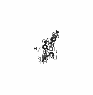 [2H]C([2H])([2H])n1nnc(-c2nc(Cl)ccc2NC(C)c2cc(C)cc3c(=O)n(C)c4c(C5CCN(S(=O)(=O)C6CC6)CC5)ncn4c23)n1